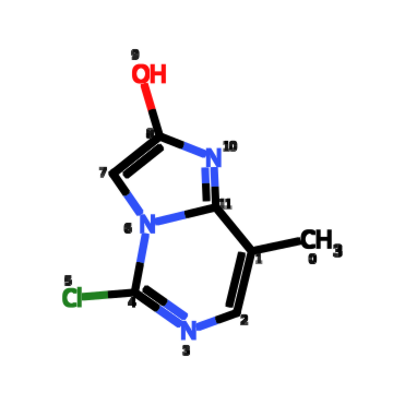 Cc1cnc(Cl)n2cc(O)nc12